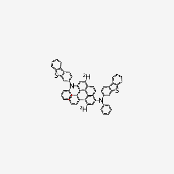 [2H]c1cc(N(c2ccccc2)c2ccc3c(c2)sc2ccccc23)c2c3ccccc3c3c([2H])cc(N(c4ccccc4)c4ccc5c(c4)sc4ccccc45)c4ccc1c2c43